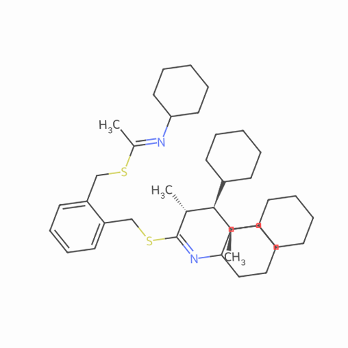 C/C(=N\C1CCCCC1)SCc1ccccc1CS/C(=N/C1CCCCC1)[C@H](C)[C@@H](C1CCCCC1)[C@H](C)C1CCCCC1